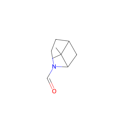 CC1(C)C2CCN(C=O)C1C2